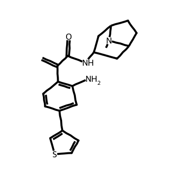 C=C(C(=O)NC1CC2CCC(C1)N2C)c1ccc(-c2ccsc2)cc1N